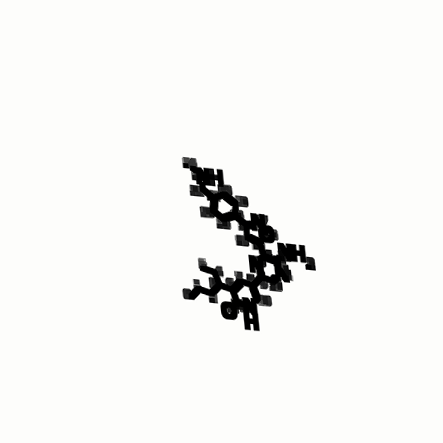 CCCC(CC)c1cc(-c2cnc(N)c(-c3cc(-c4ccc(CNC)cc4)no3)n2)c[nH]c1=O